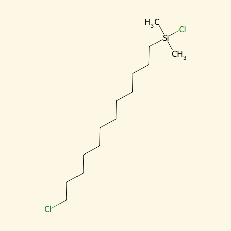 C[Si](C)(Cl)CCCCCCCCCCCCCl